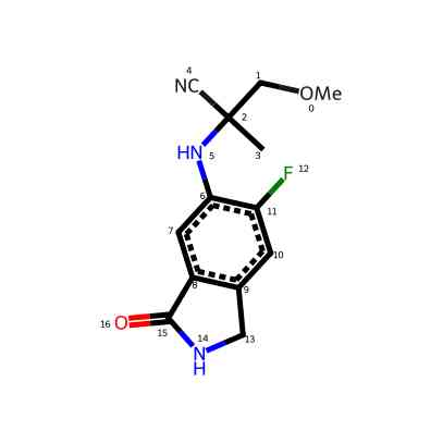 COCC(C)(C#N)Nc1cc2c(cc1F)CNC2=O